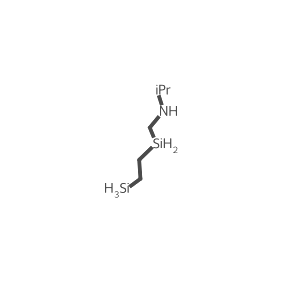 CC(C)NC[SiH2]CC[SiH3]